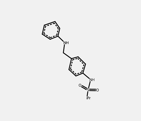 CC(C)S(=O)(=O)Nc1ccc(CNc2ccccc2)cc1